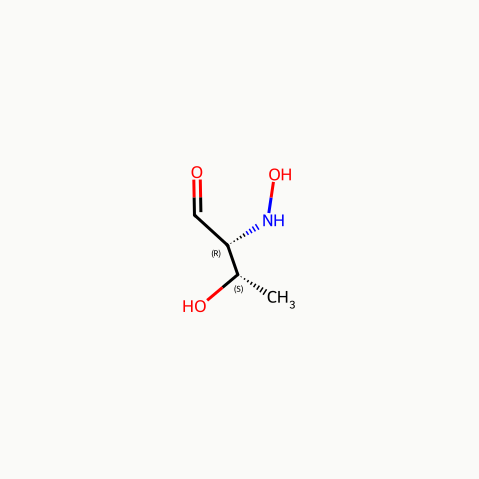 C[C@H](O)[C@H](C=O)NO